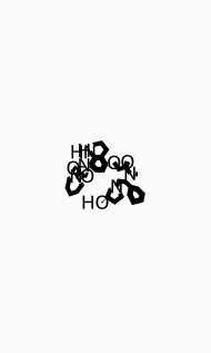 CN(C(=O)COc1ccc(NS(=O)(=O)N2CCCCC2)c2c1CCCN2)C(CN1CC[C@H](O)C1)c1ccccc1